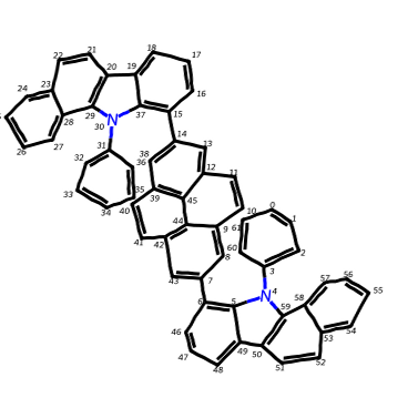 c1ccc(-n2c3c(-c4cc5ccc6cc(-c7cccc8c9ccc%10ccccc%10c9n(-c9ccccc9)c78)cc7ccc(c4)c5c67)cccc3c3ccc4ccccc4c32)cc1